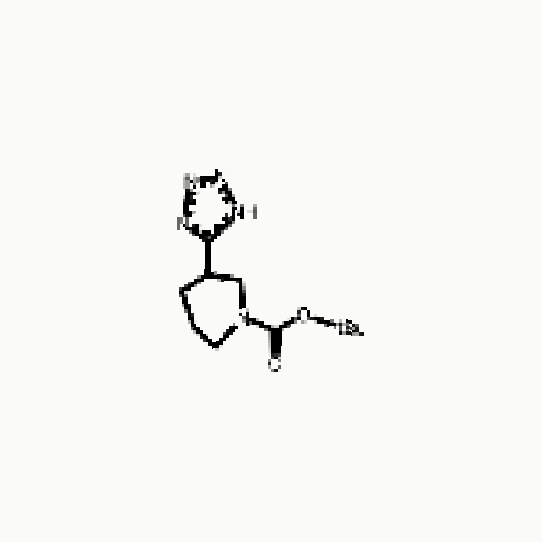 CC(C)(C)OC(=O)N1CCCC(c2nnn[nH]2)C1